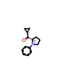 O=C([C]1CC1)[C@H]1CCCN1c1ccccc1